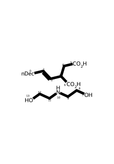 CCCCCCCCCCC=CC(CC(=O)O)C(=O)O.OCCNCCO